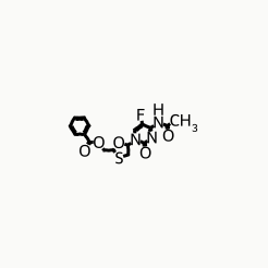 CC(=O)Nc1nc(=O)n(C2CSC(COC(=O)c3ccccc3)O2)cc1F